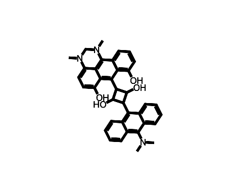 CN(C)c1c2ccccc2c(C2C(O)C(c3c4c(O)cccc4c4c5c(ccc(O)c35)N(C)CN4C)C2O)c2ccccc12